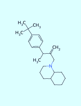 C=C(CN1CCCC2CCCCC21)C(C)c1ccc(C(C)(C)C)cc1